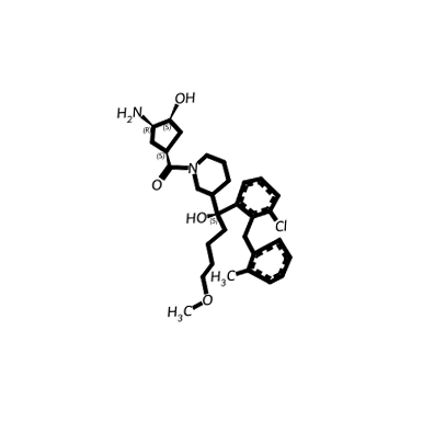 COCCCC[C@@](O)(c1cccc(Cl)c1Cc1ccccc1C)C1CCCN(C(=O)[C@H]2C[C@@H](N)[C@@H](O)C2)C1